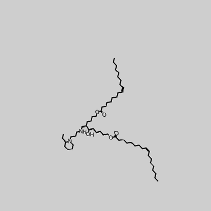 CCCCCCCC/C=C\CCCCCCCC(=O)OCCCCCC(O)C(CCCCOC(=O)CCCCCCC/C=C\CCCCCCCC)CNCCCN1CCCCC1CC